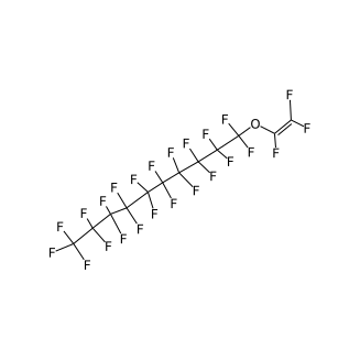 FC(F)=C(F)OC(F)(F)C(F)(F)C(F)(F)C(F)(F)C(F)(F)C(F)(F)C(F)(F)C(F)(F)C(F)(F)C(F)(F)F